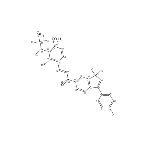 Cc1ccc(C2=CC(C)(C)c3cc(C(=O)C=Cc4ccc(C(=O)O)c(C(C)C(C)(C)[SiH3])c4F)ccc32)cc1